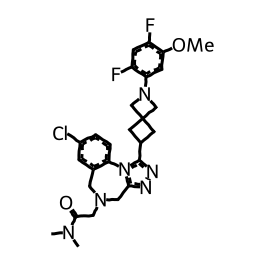 COc1cc(N2CC3(CC(c4nnc5n4-c4ccc(Cl)cc4CN(CC(=O)N(C)C)C5)C3)C2)c(F)cc1F